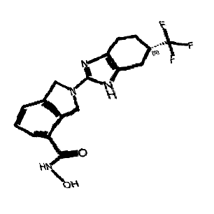 O=C(NO)c1cccc2c1CN(c1nc3c([nH]1)C[C@@H](C(F)(F)F)CC3)C2